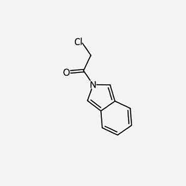 O=C(CCl)n1cc2ccccc2c1